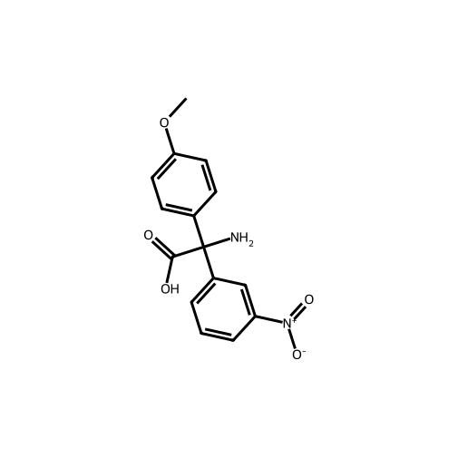 COc1ccc(C(N)(C(=O)O)c2cccc([N+](=O)[O-])c2)cc1